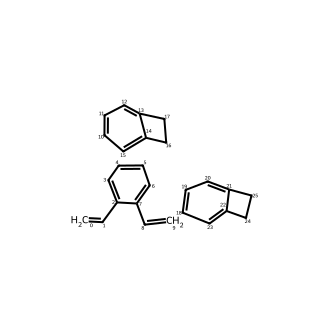 C=Cc1ccccc1C=C.c1ccc2c(c1)CC2.c1ccc2c(c1)CC2